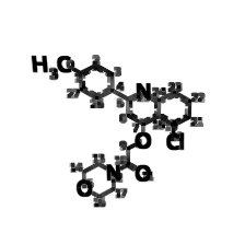 Cc1ccc(-c2cc(OCC(=O)N3CCOCC3)c3c(Cl)cccc3n2)cc1